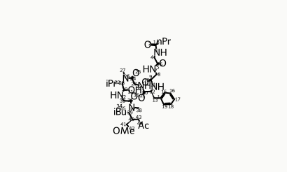 CCCC(=O)NCC(=O)NCC(=O)N[C@@H](Cc1ccccc1)C(=O)NCC(=O)N(C)[C@@H](C(C)C)C(O)N[C@@H](C)C(=O)N(C)[C@H]([C@H](COC)CC(C)=O)[C@@H](C)CC